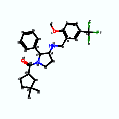 COc1ccc(C(F)(F)F)cc1CNC1CCN(C(=O)C2CCC(C)(C)C2)C1c1ccccc1